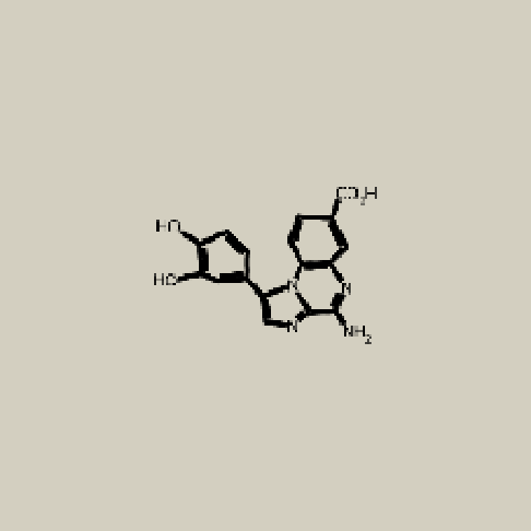 Nc1nc2cc(C(=O)O)ccc2n2c(-c3ccc(O)c(O)c3)cnc12